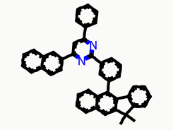 CC1(C)c2ccccc2-c2c1cc1ccccc1c2-c1cccc(-c2nc(-c3ccccc3)cc(-c3ccc4ccccc4c3)n2)c1